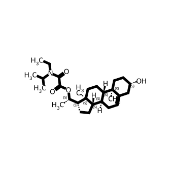 CCN(C(=O)C(=O)O[C@@H](C)[C@H]1CC[C@H]2[C@@H]3CC=C4C[C@@H](O)CC[C@]4(C)[C@H]3CC[C@]12C)C(C)C